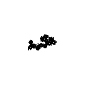 c1ccc(-n2c3ccncc3c3cc(-c4cccc5c4oc4ccc(-c6cccc(-n7c8ccc(-c9ccccc9-c9ncncn9)cc8c8cc(-c9ccccc9-c9ncncn9)ccc87)c6)cc45)ccc32)cc1